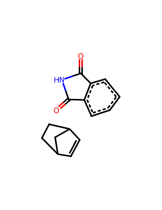 C1=CC2CCC1C2.O=C1NC(=O)c2ccccc21